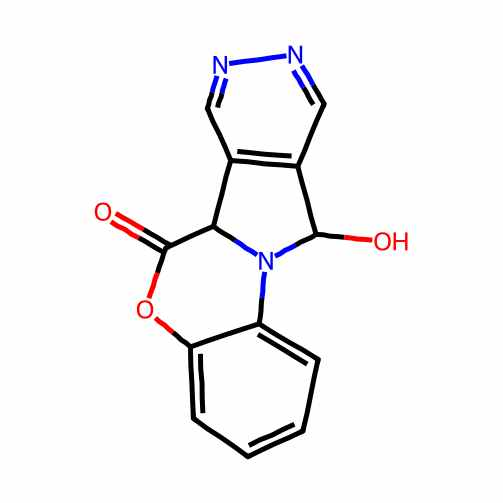 O=C1Oc2ccccc2N2C(O)c3cnncc3C12